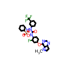 Cn1ccc2ncnc(Oc3ccc(N(OS(=O)(=O)c4ccccc4)C(=O)Nc4cccc(C(F)(F)F)c4)c(F)c3)c21